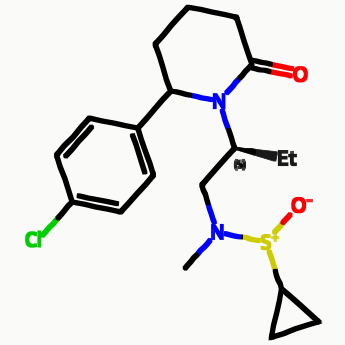 CC[C@@H](CN(C)[S+]([O-])C1CC1)N1C(=O)CCCC1c1ccc(Cl)cc1